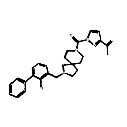 CC(=O)c1ccn(C(=O)N2CCC3(CCN(Cc4cccc(-c5ccccc5)c4Cl)C3)CC2)n1